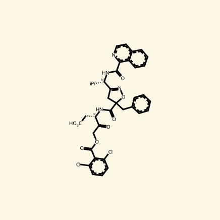 CC(C)[C@H](NC(=O)c1nccc2ccccc12)C1=NOC(Cc2ccccc2)(C(=O)N[C@@H](CC(=O)O)C(=O)COC(=O)c2c(Cl)cccc2Cl)C1